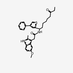 CCC(=O)CCCCCC(NC(=O)Cc1c(C)[nH]c2ccc(OC)cc12)c1cc(-c2ccccc2)cs1